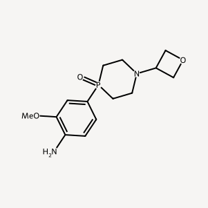 COc1cc(P2(=O)CCN(C3COC3)CC2)ccc1N